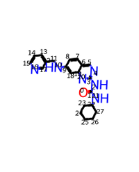 O=C(Nc1ncc2ccc(NCc3cccnc3)cc2n1)NC1CCCCC1